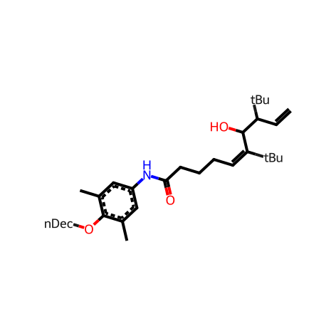 C=CC(C(O)/C(=C\CCCC(=O)Nc1cc(C)c(OCCCCCCCCCC)c(C)c1)C(C)(C)C)C(C)(C)C